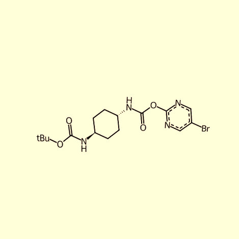 CC(C)(C)OC(=O)N[C@H]1CC[C@H](NC(=O)Oc2ncc(Br)cn2)CC1